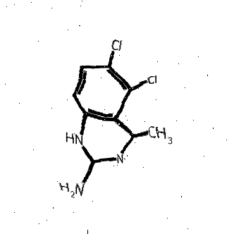 CC1[N]C(N)Nc2ccc(Cl)c(Cl)c21